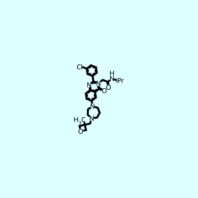 CC(C)NC(=O)Cn1c(-c2cccc(Cl)c2)nc2ccc(N3CCCN(CC4(C)COC4)CC3)cc2c1=O